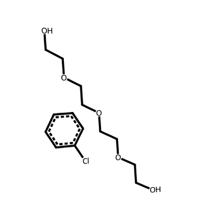 Clc1ccccc1.OCCOCCOCCOCCO